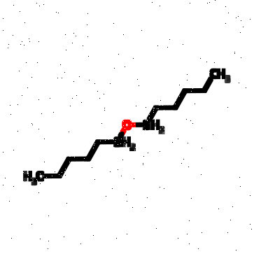 CCCCC[SiH2]O[SiH2]CCCCC